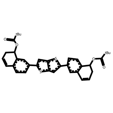 CC(C)(C)C(=O)OC1CC=Cc2cc(-c3cc4sc(-c5ccc6c(c5)C(OC(=O)C(C)(C)C)CC=C6)cc4s3)ccc21